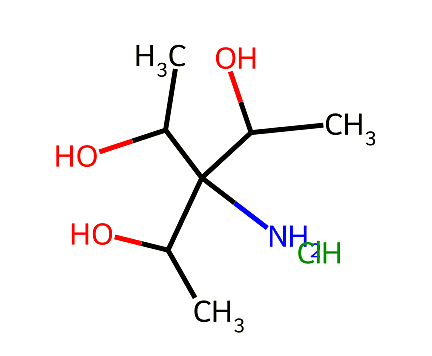 CC(O)C(N)(C(C)O)C(C)O.Cl